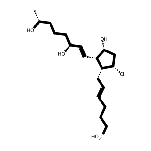 C[C@@H](O)CCC[C@H](O)C=C[C@H]1[C@@H](CC=CCCCC(=O)O)[C@@H](Cl)C[C@H]1O